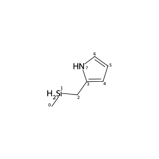 C[SiH2]Cc1ccc[nH]1